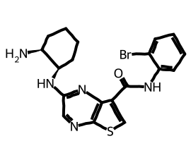 N[C@H]1CCCC[C@H]1Nc1cnc2scc(C(=O)Nc3ccccc3Br)c2n1